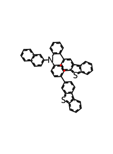 c1ccc(N(c2ccc(-c3ccc4c(c3)sc3ccccc34)cc2)c2ccc3ccccc3c2)c(-c2ccc3sc4ccccc4c3c2)c1